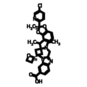 CCN(Cc1nc2ccc(C(=O)O)cc2n1C[C@@H]1CCO1)C1(C(C)c2cccc3c2O[C@@](C)(c2ccc(Cl)cn2)O3)CCC1